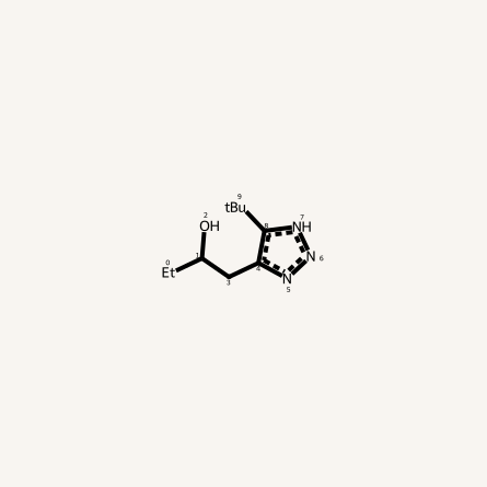 CCC(O)Cc1nn[nH]c1C(C)(C)C